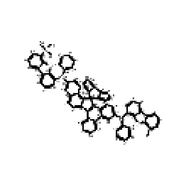 Cc1cccc2c1oc1c(N(c3ccccc3)c3ccc4c5c(c6ccccc6c4c3)-c3ccc4cc(N(c6ccccc6)c6cccc7c6oc6c([Si](C)(C)C)cccc67)ccc4c3C53c4ccccc4-c4ccccc43)cccc12